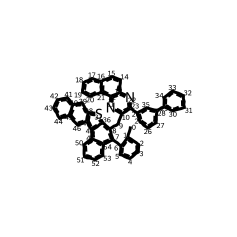 Cc1ccccc1-c1c(Cc2nc3c(ccc4ccccc43)nc2-c2cccc(-c3ccccc3)c2)c2sc3cc4ccccc4cc3c2c2ccccc12